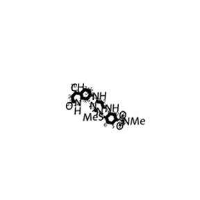 CNS(=O)(=O)c1ccc(SC)c(Nc2cc(Nc3ccc4c(C)cc(=O)[nH]c4c3)ncn2)c1